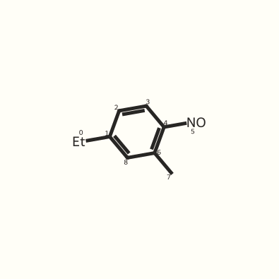 CCc1ccc(N=O)c(C)c1